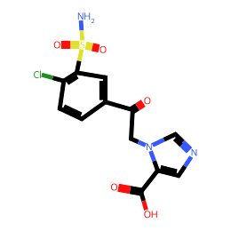 NS(=O)(=O)c1cc(C(=O)Cn2cncc2C(=O)O)ccc1Cl